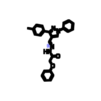 Cc1ccc(-c2nn(-c3ccccc3)cc2/C=N/NC(=O)COc2ccccc2)cc1